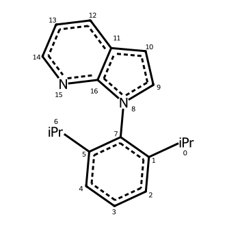 CC(C)c1cccc(C(C)C)c1-n1ccc2cccnc21